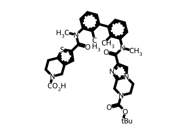 Cc1c(-c2cccc(N(C)C(=O)c3cc4c(s3)CCN(C(=O)O)C4)c2C)cccc1N(C)C(=O)c1cn2c(n1)CN(C(=O)OC(C)(C)C)CC2